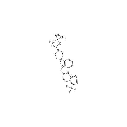 CC(C)(C)OC(=O)N1CCC(COCc2ccc3c(C(F)(F)F)cccc3n2)(c2ccccc2)CC1